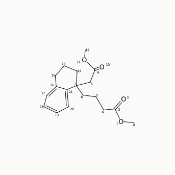 COC(=O)CCCC1(CC(=O)OC)CCCc2ccccc21